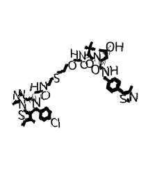 Cc1ncsc1-c1ccc(CNC(=O)[C@@H]2C[C@@H](O)CN2C(=O)[C@@H](NC(=O)COCCCSCCNC(=O)C[C@@H]2N=C(c3ccc(Cl)cc3)c3c(sc(C)c3C)-n3c(C)nnc32)C(C)(C)C)cc1